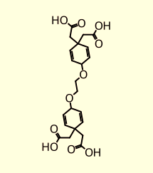 O=C(O)CC1(CC(=O)O)C=CC(OCCOC2C=CC(CC(=O)O)(CC(=O)O)C=C2)C=C1